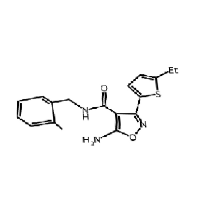 CCc1ccc(-c2noc(N)c2C(=O)NCc2ccccc2C)s1